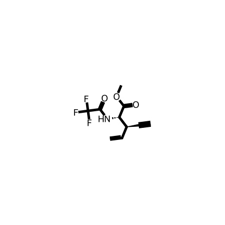 C#C[C@@H](C=C)[C@H](NC(=O)C(F)(F)F)C(=O)OC